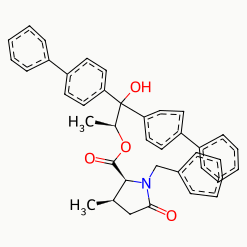 C[C@@H]1CC(=O)N(Cc2ccccc2)[C@@H]1C(=O)O[C@@H](C)C(O)(c1ccc(-c2ccccc2)cc1)c1ccc(-c2ccccc2)cc1